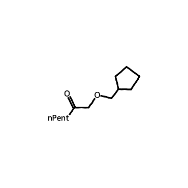 CCCCCC(=O)COCC1CCCC1